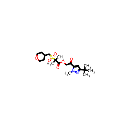 Cn1nc(C(C)(C)C)cc1C(=O)COC(=O)C(C)(C)S(=O)(=O)CC1CCOCC1